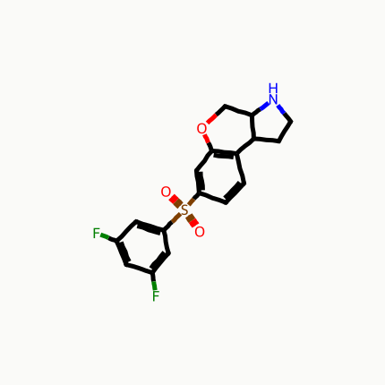 O=S(=O)(c1cc(F)cc(F)c1)c1ccc2c(c1)OCC1NCCC21